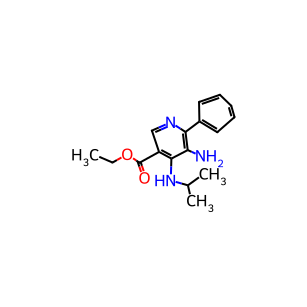 CCOC(=O)c1cnc(-c2ccccc2)c(N)c1NC(C)C